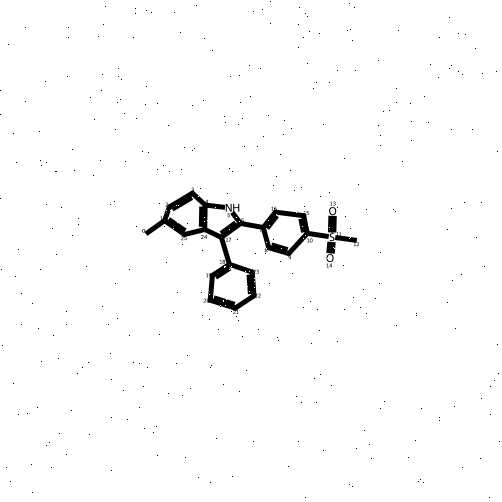 Cc1ccc2[nH]c(-c3ccc(S(C)(=O)=O)cc3)c(-c3ccccc3)c2c1